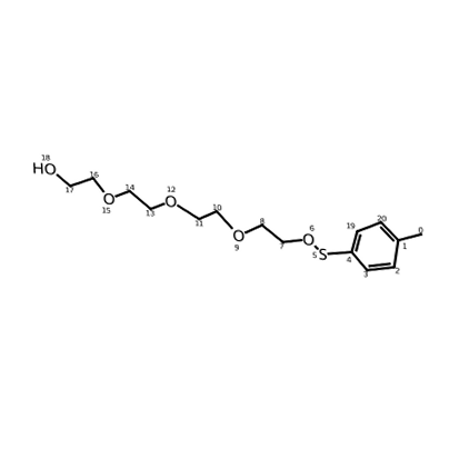 Cc1ccc(SOCCOCCOCCOCCO)cc1